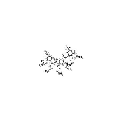 CC(C)(C)c1cc(NC(N)=O)c(SCCN)c(NC(=O)c2cc(C(=O)Nc3cc(C(C)(C)C)cc(NC(N)=O)c3SCCN)c(OCCN)cc2OCCN)c1